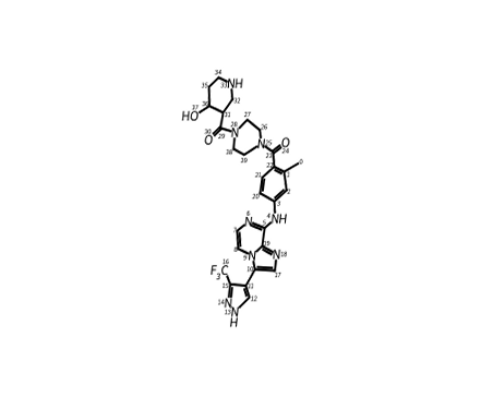 Cc1cc(Nc2nccn3c(-c4c[nH]nc4C(F)(F)F)cnc23)ccc1C(=O)N1CCN(C(=O)C2CNCCC2O)CC1